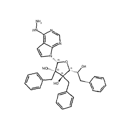 NNc1ncnc2c1ccn2[C@@H]1O[C@H](C(O)Cc2ccccc2)[C@](O)(Cc2ccccc2)[C@@]1(O)Cc1ccccc1